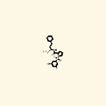 O=C(N[C@@H](CCc1ccccc1)C(=O)O)c1cccn1S(=O)(=O)c1cc(Cl)cc(Cl)c1